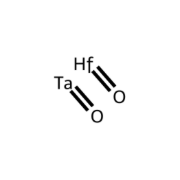 [O]=[Hf].[O]=[Ta]